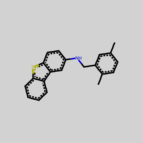 Cc1ccc(C)c(CNc2ccc3sc4ccccc4c3c2)c1